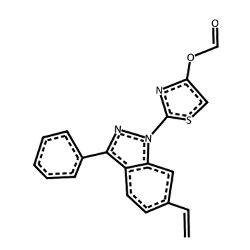 C=Cc1ccc2c(-c3ccccc3)nn(-c3nc(OC=O)cs3)c2c1